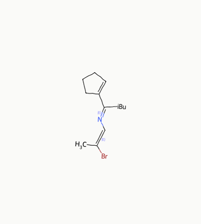 CCC(C)/C(=N\C=C(/C)Br)C1=CCCC1